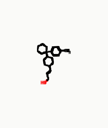 Cc1ccc(C2(C3CCC(C=CCO)CC3)CCCCC2)cc1